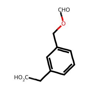 O=COCc1cccc(CC(=O)O)c1